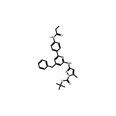 CCC(=O)Nc1ccc(-c2cc(Cc3ccccc3)cc(Nc3cc(C)n(C(=O)OC(C)(C)C)n3)n2)cc1